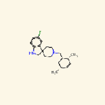 C[C@@H]1C=C[C@H](C)C[C@H]1CN1CCC2(CC1)CNc1ccc(F)cc12